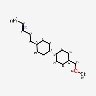 CCC/C=C/CC[C@H]1CC[C@H](C2CCC(COCC)CC2)CC1